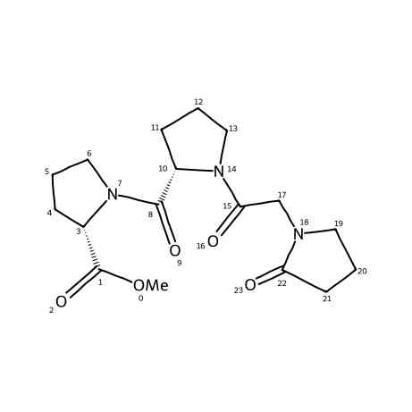 COC(=O)[C@@H]1CCCN1C(=O)[C@@H]1CCCN1C(=O)CN1CCCC1=O